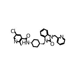 Cc1ncc(Cl)cc1C(=O)N[C@H]1CC[C@H](Cn2c(=O)n(Cc3ccccn3)c3ccccc32)CC1